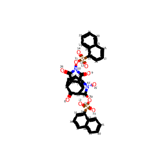 O=C1C2C=CC3C(C4C(=O)N(OS(=O)(=O)c5cccc6ccccc56)C(=O)C24)C1C(OS(=O)(=O)c1cccc2ccccc12)[N+]3=O